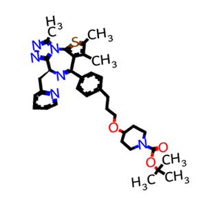 Cc1sc2c(c1C)C(c1ccc(CCCOC3CCN(C(=O)OC(C)(C)C)CC3)cc1)=N[C@@H](Cc1ccccn1)c1nnc(C)n1-2